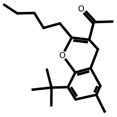 CCCCCC1=C(C(C)=O)Cc2cc(C)cc(C(C)(C)C)c2O1